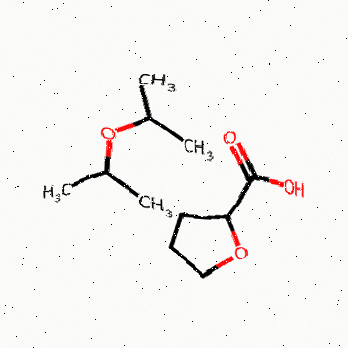 CC(C)OC(C)C.O=C(O)C1CCCO1